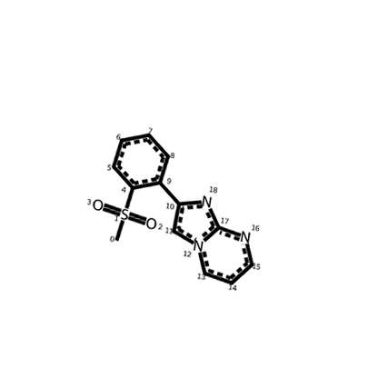 CS(=O)(=O)c1ccccc1-c1cn2cccnc2n1